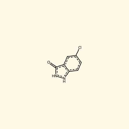 O=c1[nH][nH]c2ccc(Cl)cc12